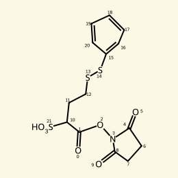 O=C(ON1C(=O)CCC1=O)C(CCSSc1ccccc1)S(=O)(=O)O